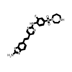 Nc1nc2ccc(C=Cc3cnc(Nc4ccc(S(=O)(=O)N5CCCNCC5)cc4F)nc3)cc2s1